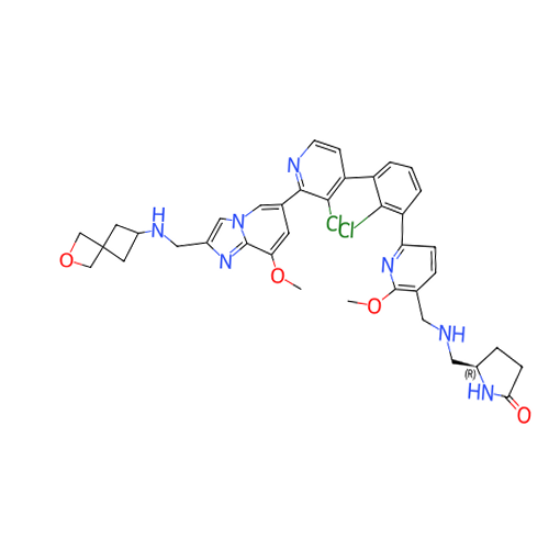 COc1nc(-c2cccc(-c3ccnc(-c4cc(OC)c5nc(CNC6CC7(COC7)C6)cn5c4)c3Cl)c2Cl)ccc1CNC[C@H]1CCC(=O)N1